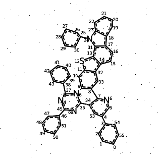 c1ccc(-c2cnc(-c3ccc4sc5c(ccc6c7ccccc7n(-c7ccccc7)c65)c4c3)c(-c3nc(-c4ccccc4)nc(-c4ccccc4)n3)c2)cc1